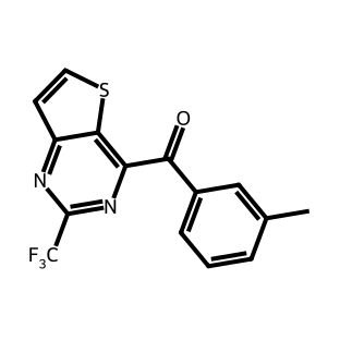 Cc1cccc(C(=O)c2nc(C(F)(F)F)nc3ccsc23)c1